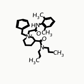 CCCN(CCC)C(=O)C1CCC[N+](CC(=O)Nc2c(C)cccc2C)(Cc2ccccc2)C1